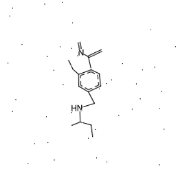 C=NC(=C)c1ccc(CNC(C)CC)cc1CC